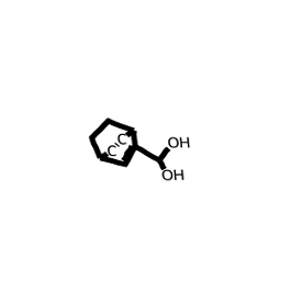 OC(O)C1=CC2CCC1CC2